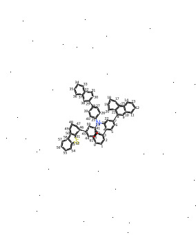 c1ccc(-c2ccc(-c3cc4ccccc4c4ccccc34)cc2N(c2ccc(-c3ccc4ccccc4c3)cc2)c2cccc(-c3cccc4c3sc3ccccc34)c2)cc1